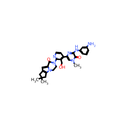 Cn1cc(-c2ccnc(N3CCn4c(cc5c4CC(C)(C)C5)C3=O)c2CO)nc(Nc2cccc(N)c2)c1=O